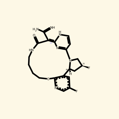 N=C(N)/C1=C2/N=C(C=CN2)N2C[C@@H](F)C[C@@H]2c2cc(F)cnc2OCCCCNC1=O